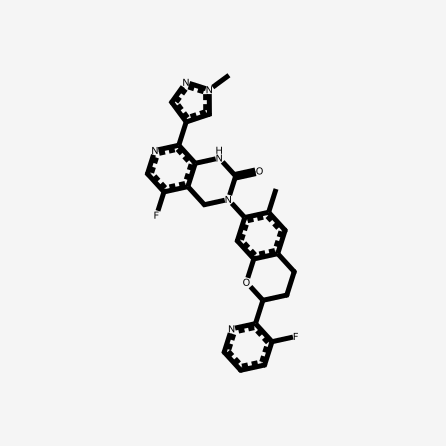 Cc1cc2c(cc1N1Cc3c(F)cnc(-c4cnn(C)c4)c3NC1=O)OC(c1ncccc1F)CC2